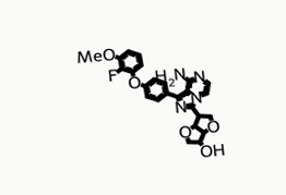 COc1cccc(Oc2ccc(-c3nc(C4COC5C(O)COC45)n4ccnc(N)c34)cc2)c1F